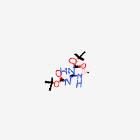 CBN/C(=N/C(=O)OC(C)(C)C)NC(=O)OC(C)(C)C